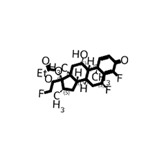 CCC(=O)O[C@]1(C(=O)CF)[C@@H](C)C[C@H]2[C@@H]3C[C@H](F)C4=C(F)C(=O)C=C[C@]4(C)[C@H]3[C@@H](O)C[C@@]21C